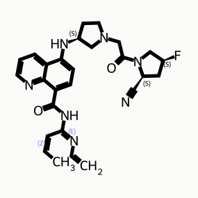 C=C/N=C(\C=C/C)NC(=O)c1ccc(N[C@H]2CCN(CC(=O)N3C[C@@H](F)C[C@H]3C#N)C2)c2cccnc12